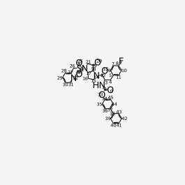 O=C(NC(Cc1ccc(F)cc1)C(=O)N1CCC2C1C(=O)CN2S(=O)(=O)Cc1ccccn1)Oc1ccc(-c2ccccc2)cc1